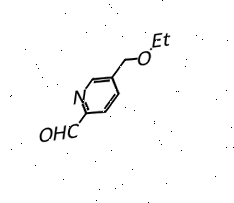 CCOCc1ccc(C=O)nc1